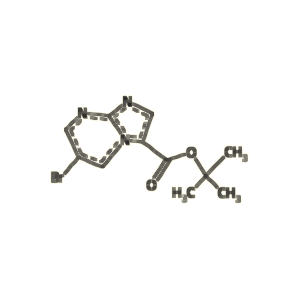 CC(C)(C)OC(=O)c1cnc2ncc(Br)cn12